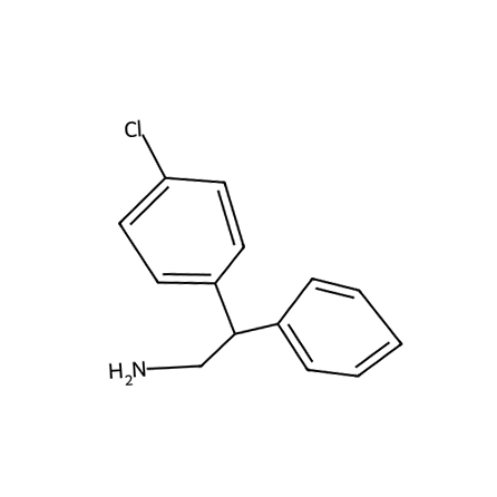 NCC(c1ccccc1)c1ccc(Cl)cc1